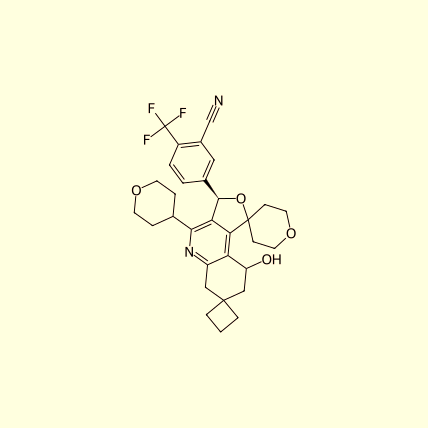 N#Cc1cc([C@H]2OC3(CCOCC3)c3c4c(nc(C5CCOCC5)c32)CC2(CCC2)CC4O)ccc1C(F)(F)F